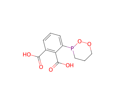 O=C(O)c1cccc(P2CCCOO2)c1C(=O)O